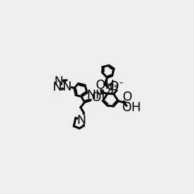 CC1C(C(=O)O)=CC=C[C@@]1(C(=O)O)[S+]([O-])Cc1ccccc1.c1cc2[nH]cc(CCN3CCCC3)c2cc1-n1cnnc1